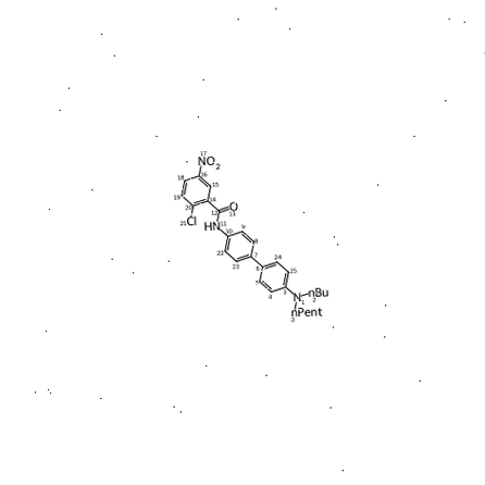 CCCCCN(CCCC)c1ccc(-c2ccc(NC(=O)c3cc([N+](=O)[O-])ccc3Cl)cc2)cc1